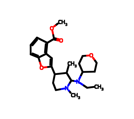 CCN(C1CCOCC1)C1C(C)C(c2cc3c(C(=O)OC)cccc3o2)CCN1C